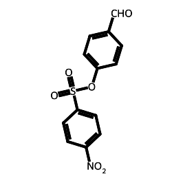 O=Cc1ccc(OS(=O)(=O)c2ccc([N+](=O)[O-])cc2)cc1